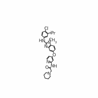 CC(C)c1cc(Nc2nc3cc(Oc4ccnc(NC(=O)CN5CCCCC5)c4)ccc3n2C)ccc1Cl